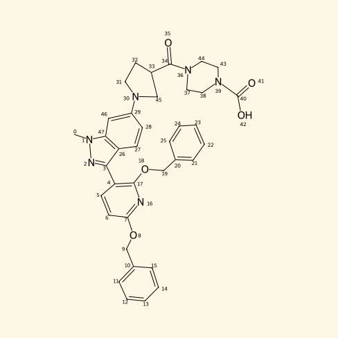 Cn1nc(-c2ccc(OCc3ccccc3)nc2OCc2ccccc2)c2ccc(N3CCC(C(=O)N4CCN(C(=O)O)CC4)C3)cc21